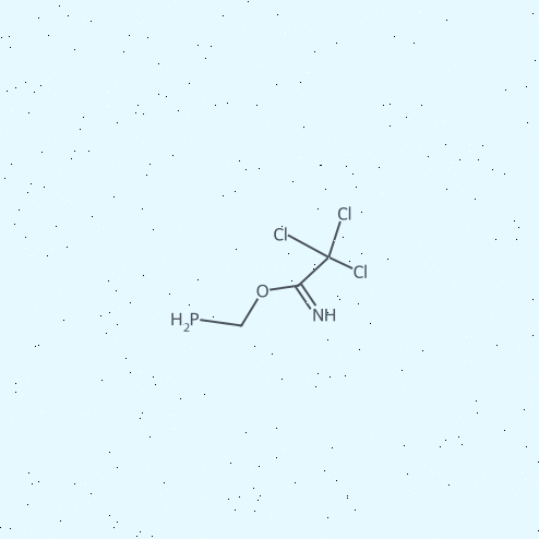 N=C(OCP)C(Cl)(Cl)Cl